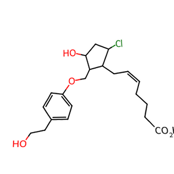 O=C(O)CCC/C=C\CC1C(Cl)CC(O)C1COc1ccc(CCO)cc1